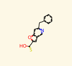 OC(=S)c1cc2cnc(Cc3ccccc3)cc2o1